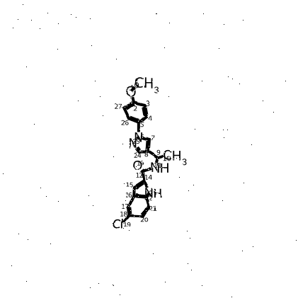 COc1ccc(-n2cc(C(C)NC(=O)c3cc4cc(Cl)ccc4[nH]3)cn2)cc1